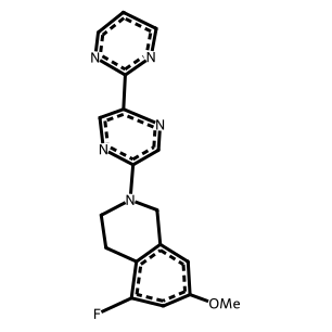 COc1cc(F)c2c(c1)CN(c1cnc(-c3ncccn3)cn1)CC2